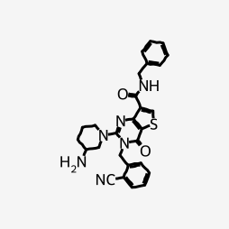 N#Cc1ccccc1Cn1c(N2CCCC(N)C2)nc2c(C(=O)NCc3ccccc3)csc2c1=O